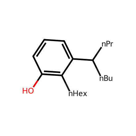 CCCCCCc1c(O)cccc1C(CCC)CCCC